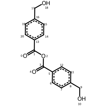 O=C(OC(=O)c1ccc(CO)cc1)c1ccc(CO)cc1